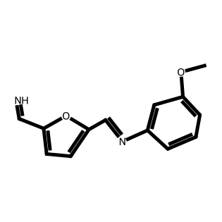 COc1cccc(N=Cc2ccc(C=N)o2)c1